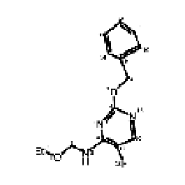 CCOCNc1nc(OCc2ccccc2)ncc1F